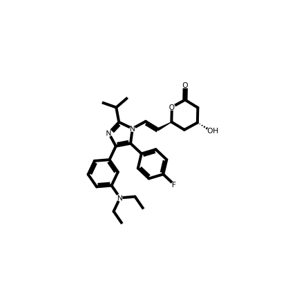 CCN(CC)c1cccc(-c2nc(C(C)C)n(/C=C/[C@@H]3C[C@@H](O)CC(=O)O3)c2-c2ccc(F)cc2)c1